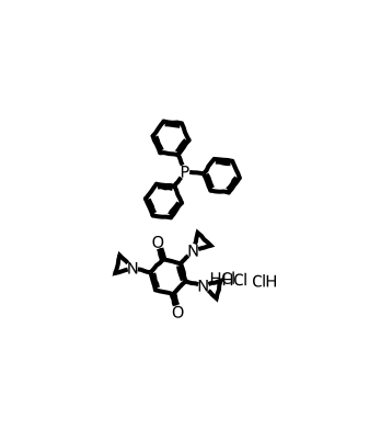 Cl.Cl.Cl.O=C1C=C(N2CC2)C(=O)C(N2CC2)=C1N1CC1.c1ccc(P(c2ccccc2)c2ccccc2)cc1